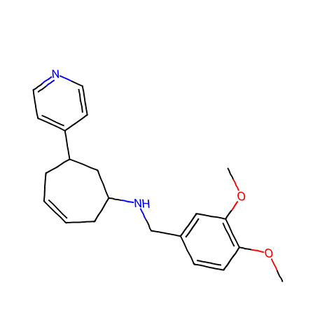 COc1ccc(CNC2CC=CCC(c3ccncc3)C2)cc1OC